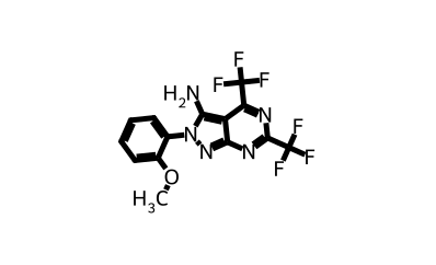 COc1ccccc1-n1nc2nc(C(F)(F)F)nc(C(F)(F)F)c2c1N